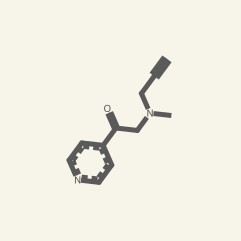 C#CCN(C)CC(=O)c1ccncc1